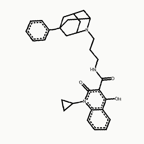 O=C(NCCCN1C2CC3CC1CC(c1ccccc1)(C3)C2)c1c(O)c2ccccc2n(C2CC2)c1=O